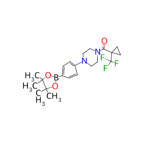 CC1(C)OB(c2ccc(N3CCN(C(=O)C4(C(F)(F)F)CC4)CC3)cc2)OC1(C)C